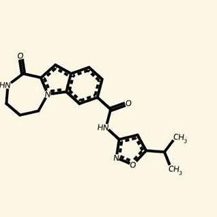 CC(C)c1cc(NC(=O)c2ccc3cc4n(c3c2)CCCNC4=O)no1